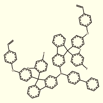 C=Cc1ccc(Oc2ccc(C3(c4ccc(F)cc4F)c4ccccc4-c4ccc(N(c5ccc(-c6ccccc6)cc5)c5ccc6c(c5)C(c5ccc(Oc7ccc(C=C)cc7)cc5)(c5ccc(F)cc5F)c5ccccc5-6)cc43)cc2)cc1